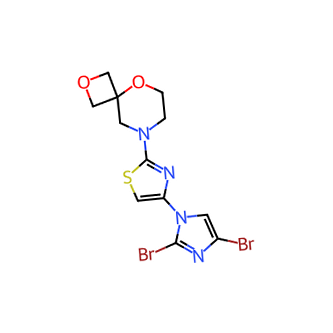 Brc1cn(-c2csc(N3CCOC4(COC4)C3)n2)c(Br)n1